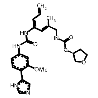 C=C/C=C(\C=C(/C)CNC(=O)O[C@H]1CCOC1)NC(=O)Nc1ccc(-c2cnc[nH]2)c(OC)c1